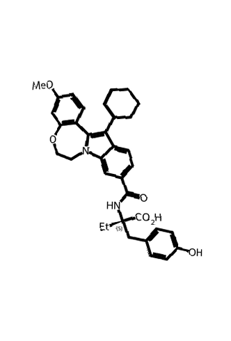 CC[C@@](Cc1ccc(O)cc1)(NC(=O)c1ccc2c(C3CCCCC3)c3n(c2c1)CCOc1cc(OC)ccc1-3)C(=O)O